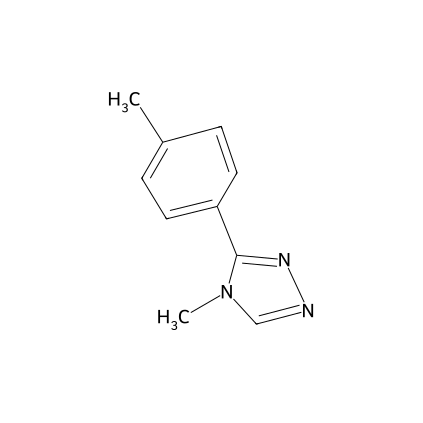 Cc1ccc(-c2nncn2C)cc1